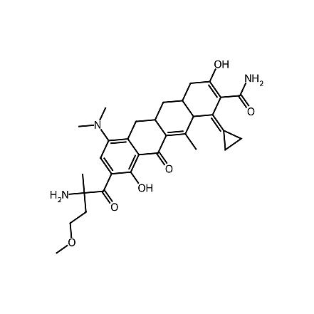 COCCC(C)(N)C(=O)c1cc(N(C)C)c2c(c1O)C(=O)C1=C(C)C3C(=C4CC4)C(C(N)=O)=C(O)CC3CC1C2